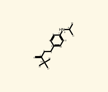 C=C(CCc1ccc(NC(C)C)cc1)C(C)(C)C